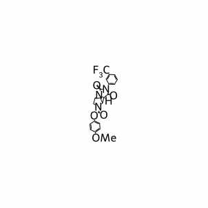 COc1ccc(OC(=O)N2CC3CC2[C@@H]2C(=O)N(c4cccc(C(F)(F)F)c4)C(=O)N32)cc1